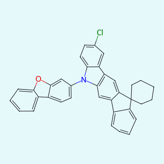 Clc1ccc2c(c1)c1cc3c(cc1n2-c1ccc2c(c1)oc1ccccc12)-c1ccccc1C31CCCCC1